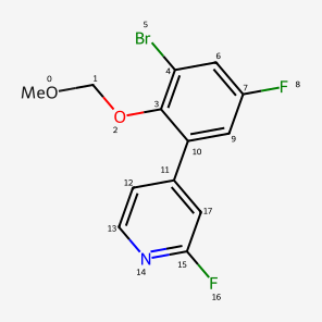 COCOc1c(Br)cc(F)cc1-c1ccnc(F)c1